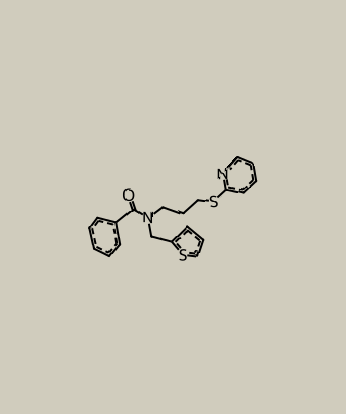 O=C(c1ccccc1)N(CCCSc1ccccn1)Cc1cccs1